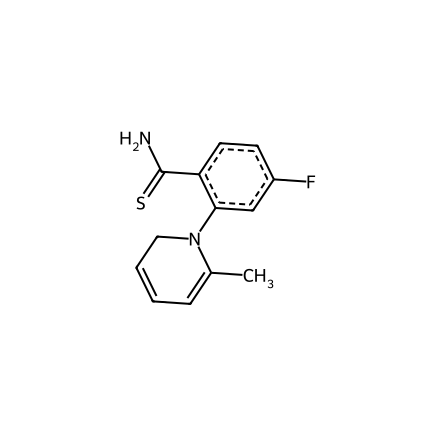 CC1=CC=CCN1c1cc(F)ccc1C(N)=S